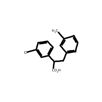 Cc1cccc(CC(C(=O)O)c2cccc(Cl)c2)c1